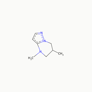 CC1CN(C)c2ccnn2C1